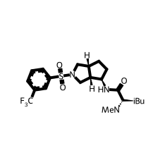 CC[C@H](C)[C@H](NC)C(=O)N[C@@H]1CC[C@H]2CN(S(=O)(=O)c3cccc(C(F)(F)F)c3)C[C@H]21